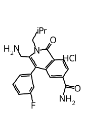 CC(C)Cn1c(CN)c(-c2cccc(F)c2)c2cc(C(N)=O)ccc2c1=O.Cl